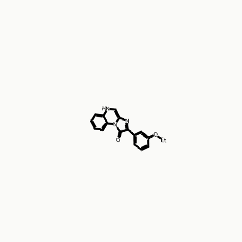 CCOc1cccc(-c2nc3c[nH]c4ccccc4n-3c2=O)c1